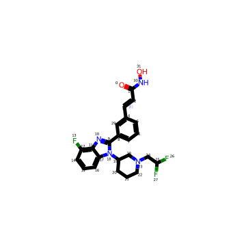 O=C(/C=C/c1cccc(-c2nc3c(F)cccc3n2C2CCCN(CC(F)F)C2)c1)NO